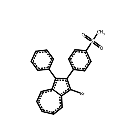 CS(=O)(=O)c1ccc(-c2c(Br)c3cccccc-3c2-c2ccccc2)cc1